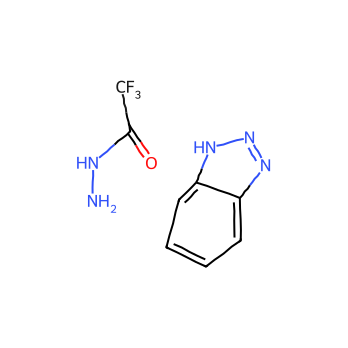 NNC(=O)C(F)(F)F.c1ccc2[nH]nnc2c1